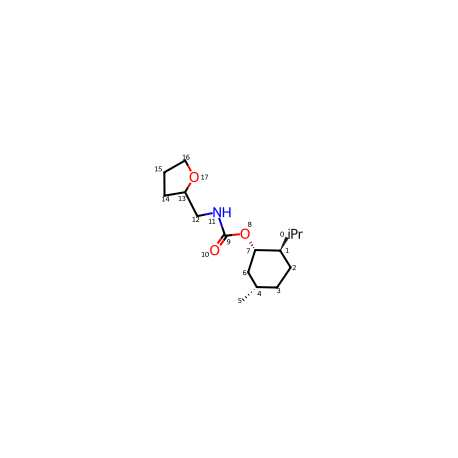 CC(C)[C@H]1CC[C@H](C)C[C@@H]1OC(=O)NCC1CCCO1